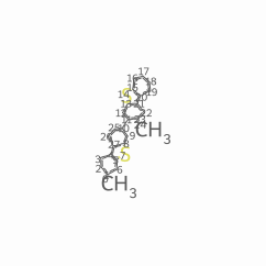 Cc1ccc2c(c1)sc1cc(-c3cc4sc5ccccc5c4cc3C)ccc12